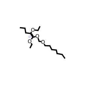 CCCCCCCOCO/C(OCC)=C(/CCC)OCC